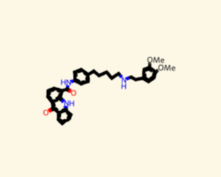 COc1ccc(CCNCCCCCc2ccc(NC(=O)c3cccc4c(=O)c5ccccc5[nH]c34)cc2)cc1OC